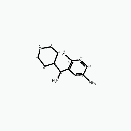 Nc1cc(C(N)C2CCOCC2)c(Cl)nn1